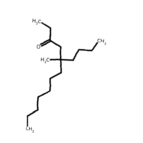 CCCCCCCC(C)(CCCC)CC(=O)CC